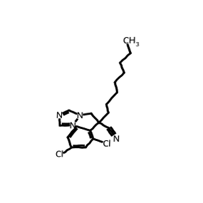 CCCCCCCCC(C#N)(Cn1cncn1)c1ccc(Cl)cc1Cl